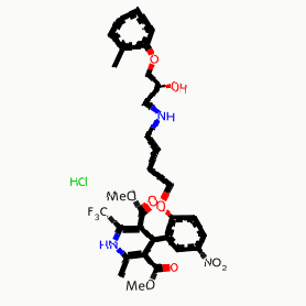 COC(=O)C1=C(C)NC(C(F)(F)F)=C(C(=O)OC)C1c1cc([N+](=O)[O-])ccc1OCCCCNC[C@H](O)COc1ccccc1C.Cl